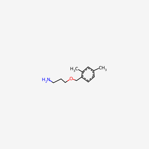 Cc1ccc(COCCCN)c(C)c1